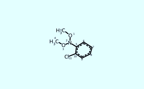 CON(OC)c1ccccc1Cl